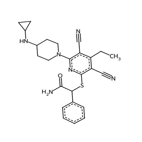 CCc1c(C#N)c(SC(C(N)=O)c2ccccc2)nc(N2CCC(NC3CC3)CC2)c1C#N